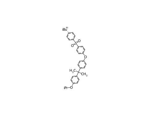 CC[C@@H](C)c1ccc(S(=O)(=O)c2ccc(Oc3ccc(C(C)(C)c4ccc(OC(C)C)cc4)cc3)cc2)cc1